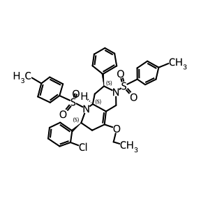 CCOC1=C2CN(S(=O)(=O)c3ccc(C)cc3)[C@H](c3ccccc3)C[C@@H]2N(S(=O)(=O)c2ccc(C)cc2)[C@H](c2ccccc2Cl)C1